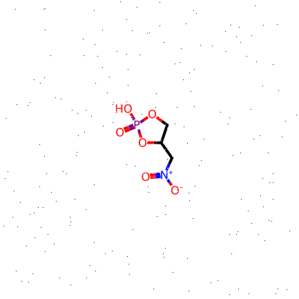 O=[N+]([O-])CC1COP(=O)(O)O1